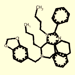 CCCC[C@@H](c1c(-c2ccccc2)nc(-c2ccccc2)n1CCCC)N(Cc1ccc2c(c1)OCO2)CC1CCCCC1